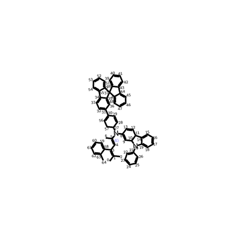 CC(C)=C(/C=C(\C)N(C1=CC2C(C=C1)c1ccccc1N2c1ccccc1)C1C=CC(c2ccc3c(c2)C2(c4ccccc4-c4ccccc42)c2ccccc2-3)=CC1)c1ccccc1C